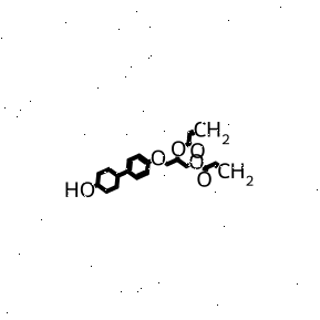 C=CC(=O)OCC(COc1ccc(C2CCC(O)CC2)cc1)OC(=O)C=C